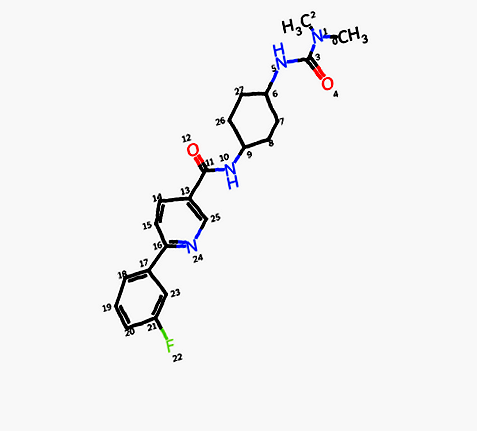 CN(C)C(=O)NC1CCC(NC(=O)c2ccc(-c3cccc(F)c3)nc2)CC1